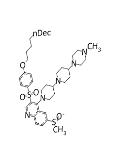 CCCCCCCCCCCCCCOc1ccc(S(=O)(=O)c2cnc3ccc([S+](C)[O-])cc3c2N2CCC(N3CCC(N4CCN(C)CC4)CC3)CC2)cc1